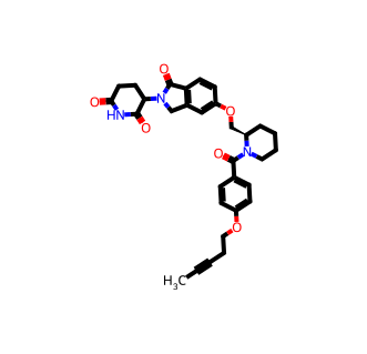 CC#CCCOc1ccc(C(=O)N2CCCC[C@@H]2COc2ccc3c(c2)CN(C2CCC(=O)NC2=O)C3=O)cc1